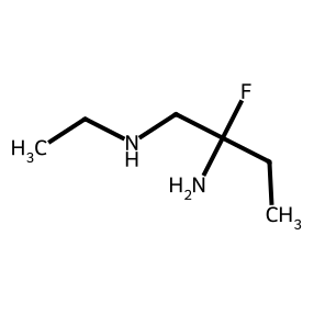 CCNCC(N)(F)CC